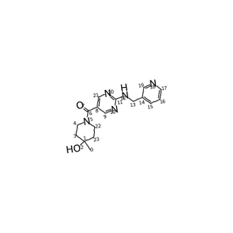 CC1(O)CCN(C(=O)c2cnc(NCc3cccnc3)nc2)CC1